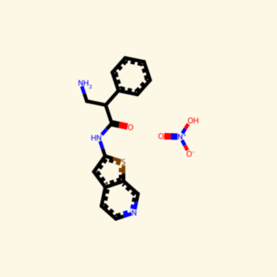 NCC(C(=O)Nc1cc2ccncc2s1)c1ccccc1.O=[N+]([O-])O